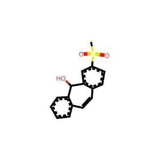 CS(=O)(=O)c1ccc2c(c1)C(O)c1ccccc1C=C2